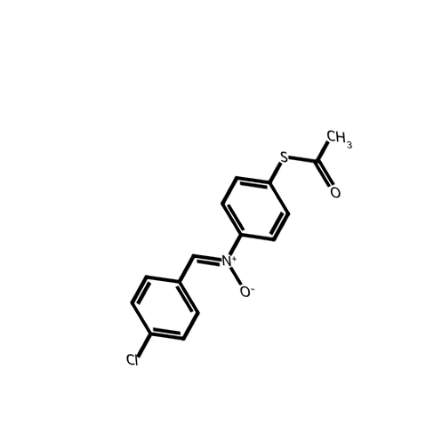 CC(=O)Sc1ccc([N+]([O-])=Cc2ccc(Cl)cc2)cc1